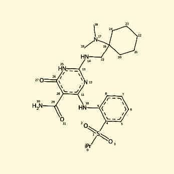 CC(C)S(=O)(=O)c1ccccc1Nc1nc(NCC2(N(C)C)CCCCC2)[nH]c(=O)c1C(N)=O